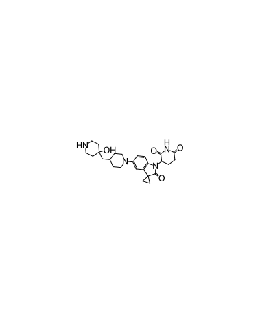 O=C1CCC(N2C(=O)C3(CC3)c3cc(N4CCC(CC5(O)CCNCC5)CC4)ccc32)C(=O)N1